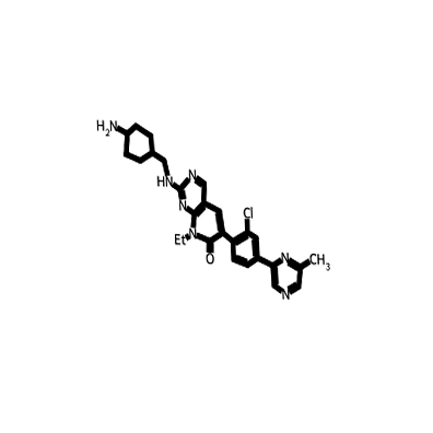 CCn1c(=O)c(-c2ccc(-c3cncc(C)n3)cc2Cl)cc2cnc(NCC3CCC(N)CC3)nc21